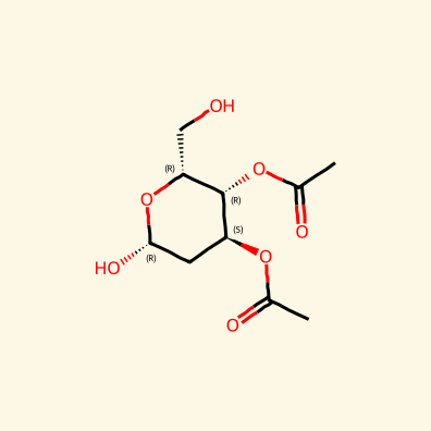 CC(=O)O[C@@H]1[C@@H](OC(C)=O)C[C@H](O)O[C@@H]1CO